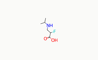 CC(C)NCC(F)C(=O)O